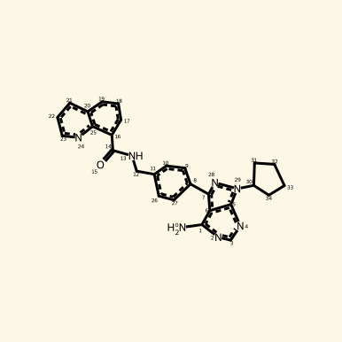 Nc1ncnc2c1c(-c1ccc(CNC(=O)c3cccc4cccnc34)cc1)nn2C1CCCC1